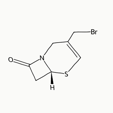 O=C1C[C@H]2SC=C(CBr)CN12